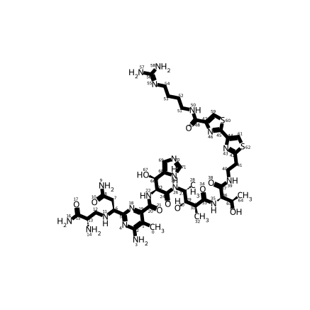 Cc1c(N)nc([C@H](CC(N)=O)NC[C@H](N)C(N)=O)nc1C(=O)N[C@H](C(=O)N[C@H](C)[C@@H](O)[C@H](C)C(=O)N[C@H](C(=O)NCCc1nc(-c2nc(C(=O)NCCCCN=C(N)N)cs2)cs1)[C@@H](C)O)[C@@H](O)c1cnc[nH]1